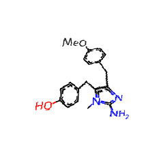 COc1ccc(Cc2nc(N)n(C)c2Cc2ccc(O)cc2)cc1